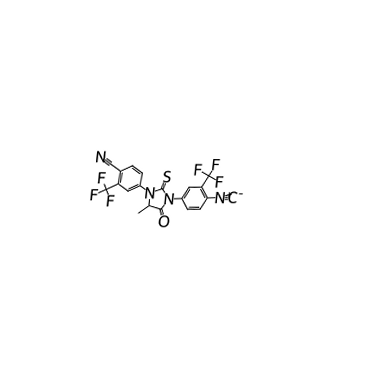 [C-]#[N+]c1ccc(N2C(=O)C(C)N(c3ccc(C#N)c(C(F)(F)F)c3)C2=S)cc1C(F)(F)F